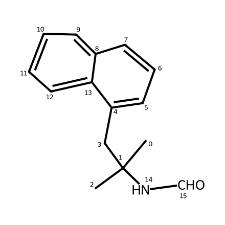 CC(C)(Cc1cccc2ccccc12)NC=O